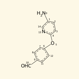 Nc1ccc(Oc2ccc(C=O)cc2)nc1